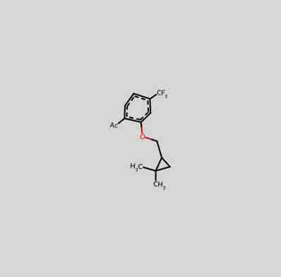 CC(=O)c1ccc(C(F)(F)F)cc1OCC1CC1(C)C